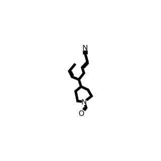 C/C=C\C(C/C=C/C#N)C1CCN(C=O)CC1